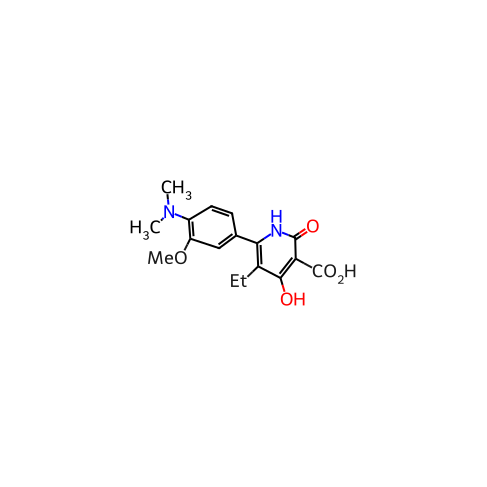 CCc1c(-c2ccc(N(C)C)c(OC)c2)[nH]c(=O)c(C(=O)O)c1O